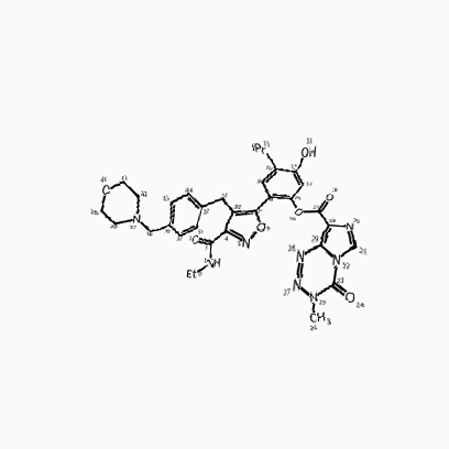 CCNC(=O)c1noc(-c2cc(C(C)C)c(O)cc2OC(=O)c2ncn3c(=O)n(C)nnc23)c1Cc1ccc(CN2CCOCC2)cc1